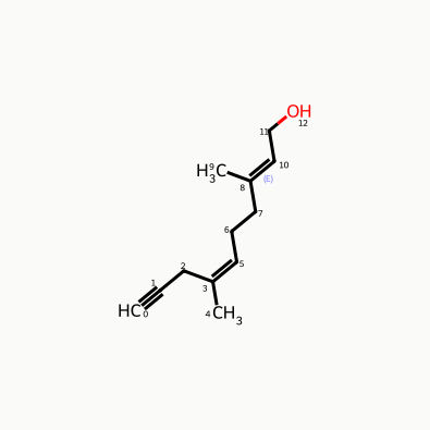 C#CCC(C)=CCC/C(C)=C/CO